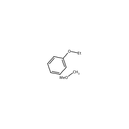 CCOc1ccccc1.COC